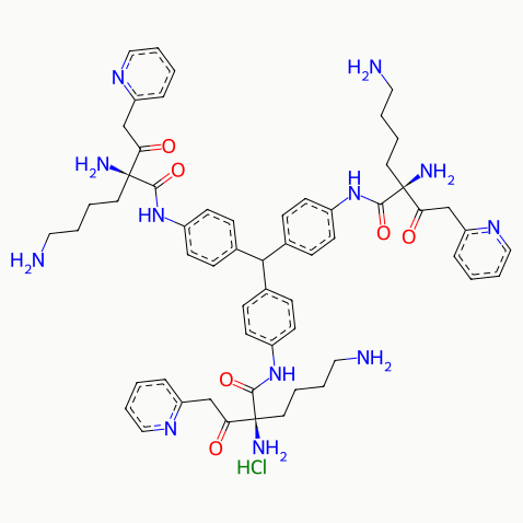 Cl.NCCCC[C@](N)(C(=O)Cc1ccccn1)C(=O)Nc1ccc(C(c2ccc(NC(=O)[C@](N)(CCCCN)C(=O)Cc3ccccn3)cc2)c2ccc(NC(=O)[C@](N)(CCCCN)C(=O)Cc3ccccn3)cc2)cc1